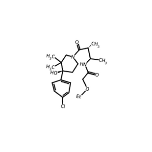 CCOCC(=O)NC(C)[C@@H](C)C(=O)N1CC[C@](O)(c2ccc(Cl)cc2)C(C)(C)C1